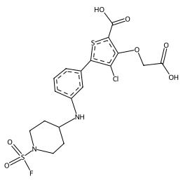 O=C(O)COc1c(C(=O)O)sc(-c2cccc(NC3CCN(S(=O)(=O)F)CC3)c2)c1Cl